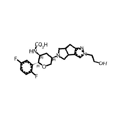 O=C(O)N[C@H]1C[C@@H](N2CC3Cc4nn(CCO)cc4C3C2)CO[C@@H]1c1cc(F)ccc1F